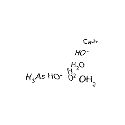 O.O.O.[AsH3].[Ca+2].[OH-].[OH-]